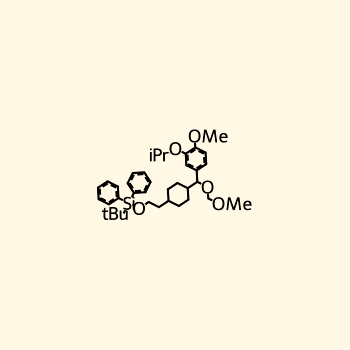 COCOC(c1ccc(OC)c(OC(C)C)c1)C1CCC(CCO[Si](c2ccccc2)(c2ccccc2)C(C)(C)C)CC1